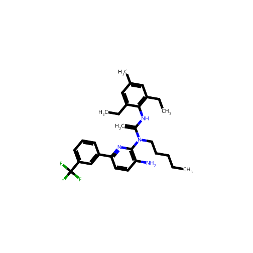 C=C(Nc1c(CC)cc(C)cc1CC)N(CCCCC)c1nc(-c2cccc(C(F)(F)F)c2)ccc1N